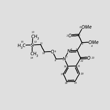 COC(=O)C(OC)c1nn(COCC[Si](C)(C)C)c2ccccc2c1=O